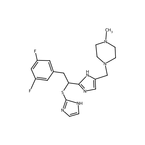 CN1CCN(Cc2cnc(C(Cc3cc(F)cc(F)c3)Sc3ncc[nH]3)[nH]2)CC1